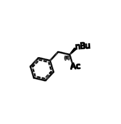 CCCC[C@H](Cc1ccccc1)C(C)=O